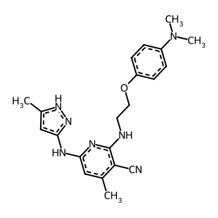 Cc1cc(Nc2cc(C)c(C#N)c(NCCOc3ccc(N(C)C)cc3)n2)n[nH]1